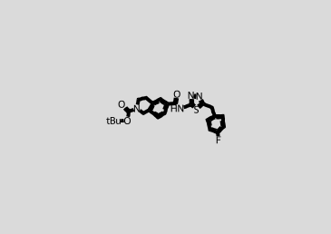 CC(C)(C)OC(=O)N1CCc2cc(C(=O)Nc3nnc(Cc4ccc(F)cc4)s3)ccc2C1